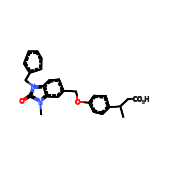 CC(CC(=O)O)c1ccc(OCc2ccc3c(c2)n(C)c(=O)n3Cc2ccccc2)cc1